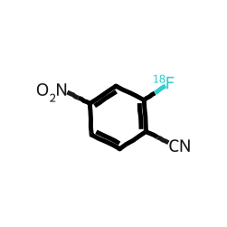 N#Cc1ccc([N+](=O)[O-])cc1[18F]